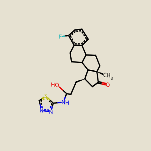 C[C@]12CCC3c4cccc(F)c4CCC3C1[C@H](CCC(O)Nc1nncs1)CC2=O